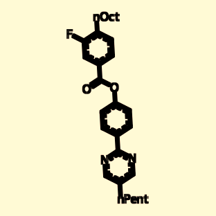 CCCCCCCCc1ccc(C(=O)Oc2ccc(-c3ncc(CCCCC)cn3)cc2)cc1F